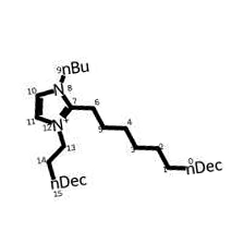 CCCCCCCCCCCCCCCCc1n(CCCC)cc[n+]1CCCCCCCCCCCC